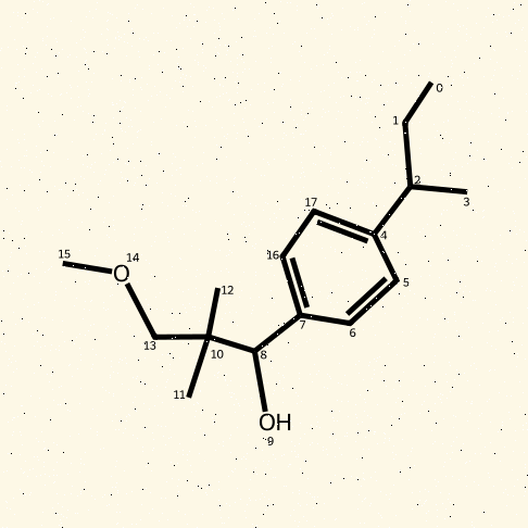 CCC(C)c1ccc(C(O)C(C)(C)COC)cc1